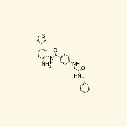 Nc1ccc(-c2ccsc2)cc1NC(=O)c1ccc(NCC(=O)NCc2ccccc2)cc1